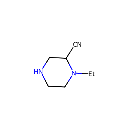 CCN1CCNCC1C#N